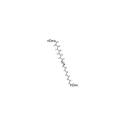 CCCCCCCCCCCCCCCCCCCSSCCCCCCCCCCCCCCCCCCC